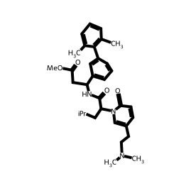 COC(=O)CC(NC(=O)C(CC(C)C)n1cc(CCN(C)C)ccc1=O)c1cccc(-c2c(C)cccc2C)c1